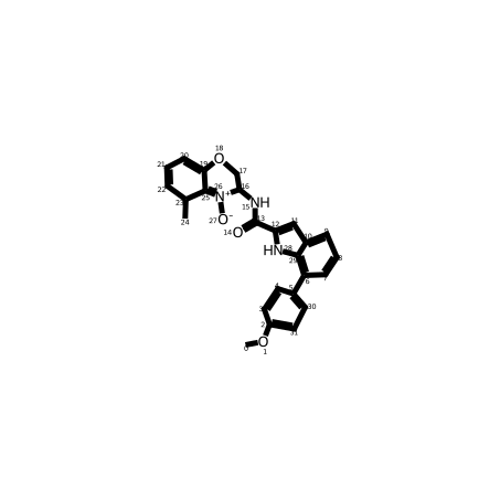 COc1ccc(-c2cccc3cc(C(=O)NC4COC5=CC=CC(C)C5=[N+]4[O-])[nH]c23)cc1